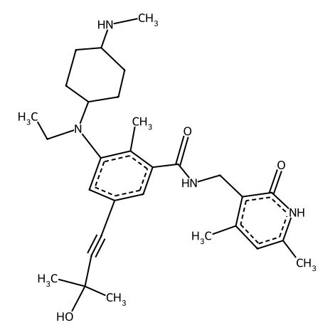 CCN(c1cc(C#CC(C)(C)O)cc(C(=O)NCc2c(C)cc(C)[nH]c2=O)c1C)C1CCC(NC)CC1